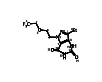 CCc1nn(CCOCC(F)(F)F)c2c(=O)[nH]c(=O)[nH]c12